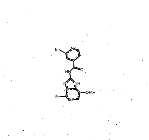 COc1ccc(Br)c2nc(NC(=O)c3ccnc(Br)c3)[nH]c12